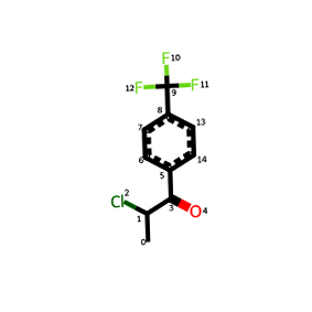 CC(Cl)C(=O)c1ccc(C(F)(F)F)cc1